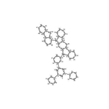 c1ccc(-c2nc(-c3ccccc3)nc(-c3cccc(-n4c5ccccc5c5cc6c7ccccc7n(-c7cccc8c7sc7ccccc78)c6cc54)c3)n2)cc1